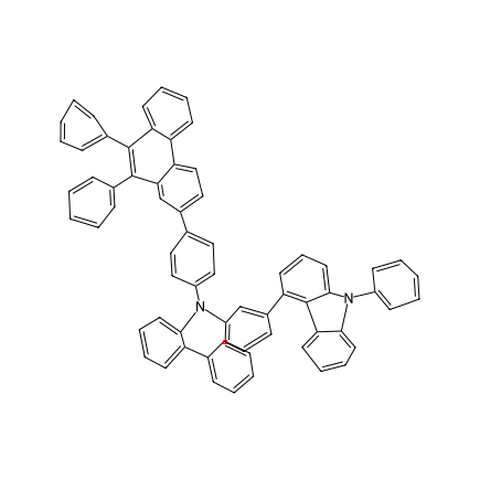 c1ccc(-c2ccccc2N(c2ccc(-c3ccc4c(c3)c(-c3ccccc3)c(-c3ccccc3)c3ccccc34)cc2)c2cccc(-c3cccc4c3c3ccccc3n4-c3ccccc3)c2)cc1